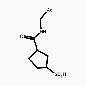 CC(=O)CNC(=O)C1CCC(S(=O)(=O)O)C1